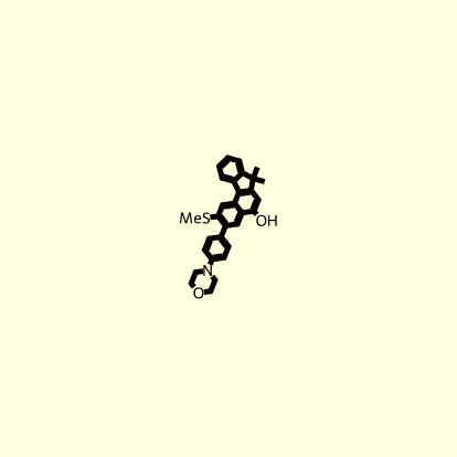 CSc1cc2c3c(cc(O)c2cc1-c1ccc(N2CCOCC2)cc1)C(C)(C)c1ccccc1-3